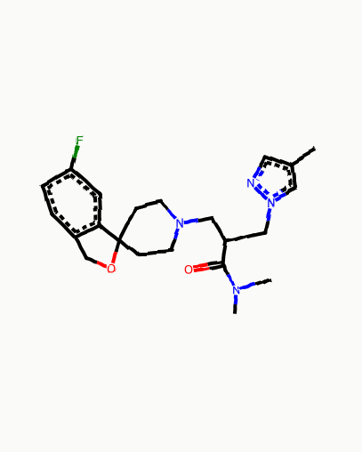 Cc1cnn(CC(CN2CCC3(CC2)OCc2ccc(F)cc23)C(=O)N(C)C)c1